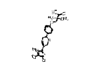 CC(C)(COc1ccc(C2CC=C(c3nc(Cl)c(Cl)[nH]3)C=N2)cc1)C(=O)O